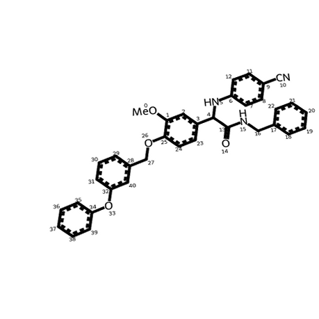 COc1cc(C(Nc2ccc(C#N)cc2)C(=O)NCc2ccccc2)ccc1OCc1cccc(Oc2ccccc2)c1